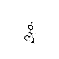 O=c1c(-c2ccc(CF)cc2)nc2cccnc2n1CC1CC1